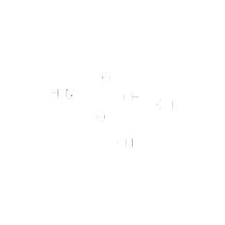 CC(C)(CO)OC(N)=O